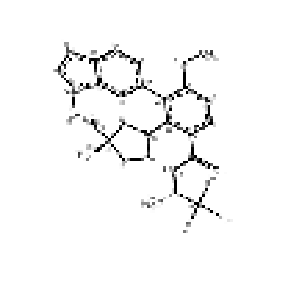 COc1ncc(C(=O)N[C@@H](C)C(F)(F)F)c(N2CC[C@](C)(N)C2)c1-c1ccc2ncn(C)c2c1